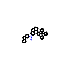 c1ccc(C2(c3cccc(-c4cccc5ccc6cc(Nc7ccc8ccc9ccccc9c8c7)ccc6c45)c3)c3ccccc3-c3ccccc32)cc1